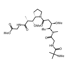 CC[C@H](C)[C@@H]([C@@H](CC(=O)N1CCC[C@H]1[C@H](OC)[C@@H](C)C(=O)NCC(=O)OC)OC)N(C)C(=O)CNC(=O)C(C)(C)NC